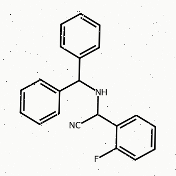 N#CC(NC(c1ccccc1)c1ccccc1)c1ccccc1F